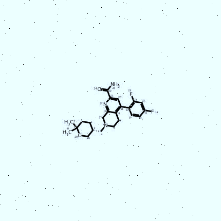 CC1(C)CC[C@H](CN2CCc3c(-c4ccc(F)cc4F)cc(C(N)=O)nc3C2)CO1